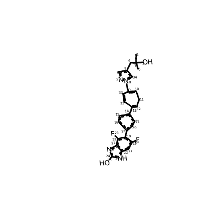 CC(C)(O)Cc1cnn(C2=CCC=C(c3ccc(-c4c(F)cc5[nH]c(O)nc5c4F)cc3)C=C2)c1